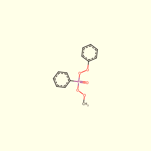 COOP(=O)(OOc1ccccc1)c1ccccc1